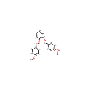 COc1ccc(COc2[c]cccc2OCc2ccc(OC)cc2)cc1